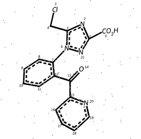 O=C(O)c1nc(CCl)n(-c2ccccc2C(=O)c2ccccn2)n1